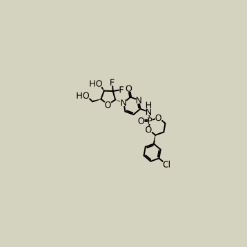 O=c1nc(N[P@@]2(=O)OCC[C@@H](c3cccc(Cl)c3)O2)ccn1[C@@H]1O[C@@H](CO)[C@@H](O)C1(F)F